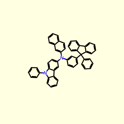 c1ccc(-n2c3ccccc3c3cc(N(c4cccc(C5(c6ccccc6)c6ccccc6-c6ccccc65)c4)c4ccc5ccccc5c4)ccc32)cc1